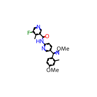 CO/N=C(\c1ccc(NC(=O)c2cncc(F)c2C)nc1)c1ccc(OC)cc1C